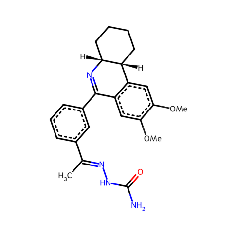 COc1cc2c(cc1OC)[C@H]1CCCC[C@H]1N=C2c1cccc(C(C)=NNC(N)=O)c1